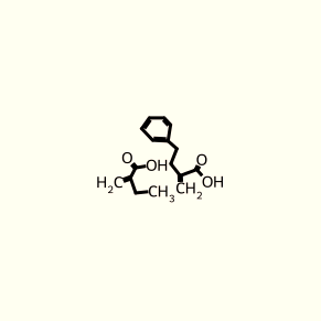 C=C(CC)C(=O)O.C=C(CCc1ccccc1)C(=O)O